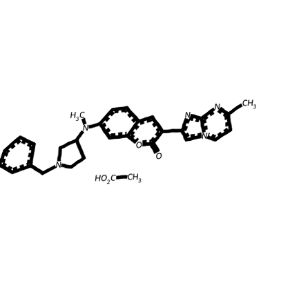 CC(=O)O.Cc1ccn2cc(-c3cc4ccc(N(C)C5CCN(Cc6ccccc6)C5)cc4oc3=O)nc2n1